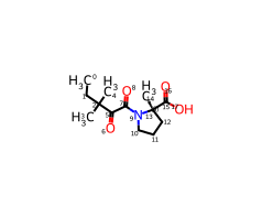 CCC(C)(C)C(=O)C(=O)N1CCC[C@@]1(C)C(=O)O